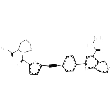 NNC(=O)c1cc(-c2ccc(C#Cc3ccc(C(=O)N4CCCCC4C(=O)O)s3)cc2)nc2ccncc12